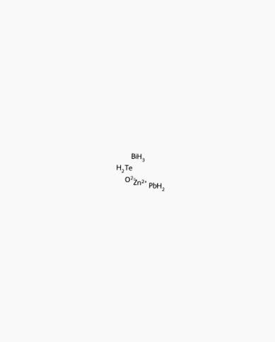 [BiH3].[O-2].[PbH2].[TeH2].[Zn+2]